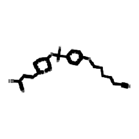 N#CCCCCCOc1ccc(C(F)(F)Oc2ccc(C=CC(=O)O)cc2)cc1